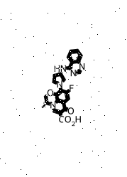 C[C@H]1COc2c(N3CC[C@H](Nc4ncnc5ccccc45)C3)c(F)cc3c(=O)c(C(=O)O)cn1c23